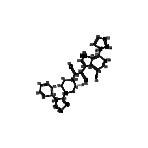 C[C@@H]1CN(c2nnnn2-c2ccccc2)CCN1C(=O)C(=O)c1c[nH]c2c(-n3ccnn3)ncc(F)c12